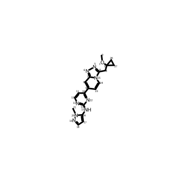 COC1(Cc2nnc3cc(-c4ccnc(Nc5ccnn5C)n4)ccn23)CC1